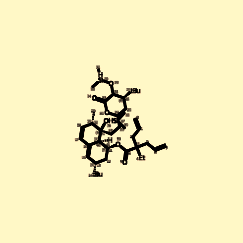 C=CCC(CC)(CC=C)C(=O)O[C@H]1C[C@H](C(C)(C)C)C=C2C=C[C@H](C)[C@](CC[C@@H]3C[C@H](C(C)(C)C)C(O[SiH](C)C)C(=O)O3)(O[SiH](C)C)[C@H]21